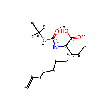 C=CCCCCC[C@@H](CC)C(NC(=O)OC(C)(C)C)C(=O)O